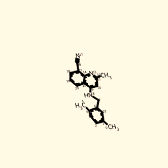 Cc1ccc(C)c(CNc2cc(C)nc3c(C#N)cccc23)c1